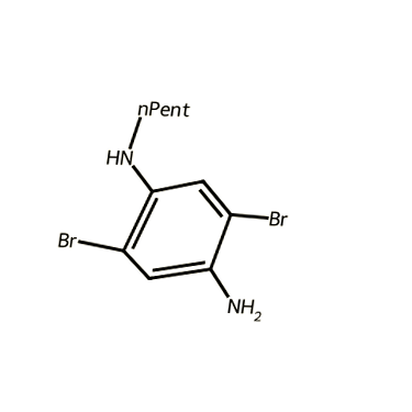 CCCCCNc1cc(Br)c(N)cc1Br